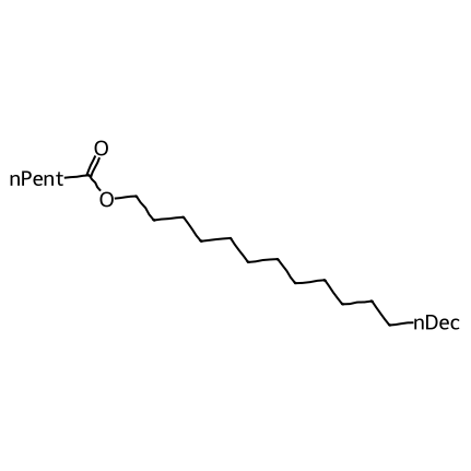 CCCCCCCCCCCCCCCCCCCCCCOC(=O)CCCCC